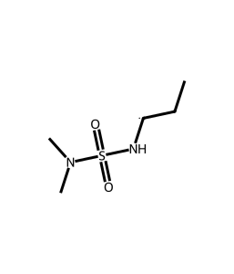 CC[CH]NS(=O)(=O)N(C)C